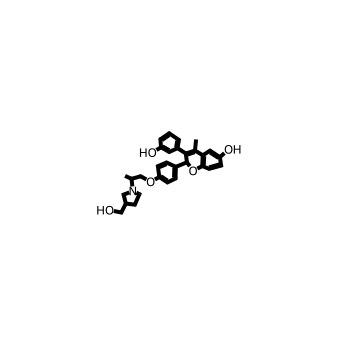 CC1=C(c2cccc(O)c2)C(c2ccc(OCC(C)N3CCC(CO)C3)cc2)Oc2ccc(O)cc21